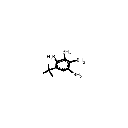 Bc1cc(C(C)(C)C)c(B)c(B)c1B